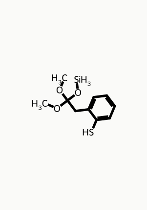 COC(Cc1ccccc1S)(OC)O[SiH3]